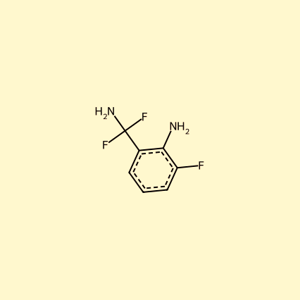 Nc1c(F)cccc1C(N)(F)F